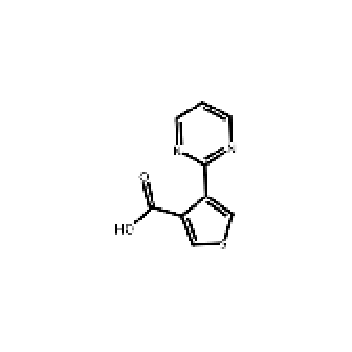 O=C(O)c1cscc1-c1ncccn1